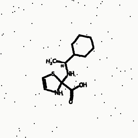 C[C@H](NC1(C(=O)O)NC=CS1)C1CCCCC1